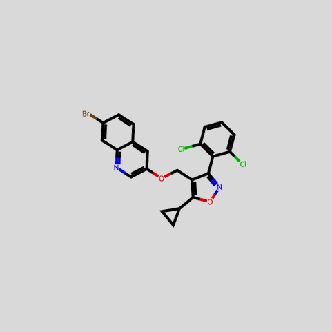 Clc1cccc(Cl)c1-c1noc(C2CC2)c1COc1cnc2cc(Br)ccc2c1